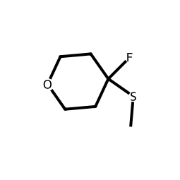 CSC1(F)CCOCC1